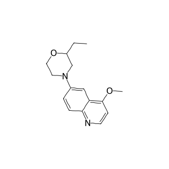 CCC1CN(c2ccc3nccc(OC)c3c2)CCO1